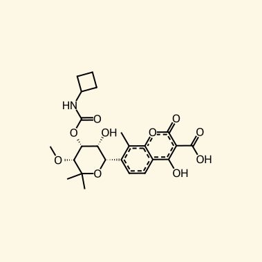 CO[C@@H]1[C@H](OC(=O)NC2CCC2)[C@H](O)[C@H](c2ccc3c(O)c(C(=O)O)c(=O)oc3c2C)OC1(C)C